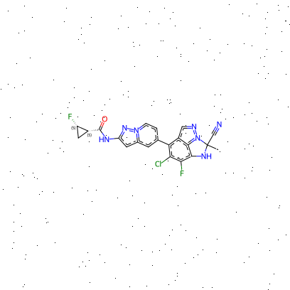 CC1(C#N)Nc2c(F)c(Cl)c(-c3ccn4nc(NC(=O)[C@@H]5C[C@@H]5F)cc4c3)c3cnn1c23